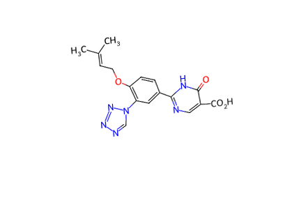 CC(C)=CCOc1ccc(-c2ncc(C(=O)O)c(=O)[nH]2)cc1-n1cnnn1